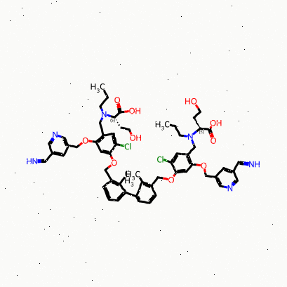 CCCN(Cc1cc(Cl)c(OCc2cccc(-c3cccc(COc4cc(OCc5cncc(C=N)c5)c(CN(CCC)[C@@H](CCO)C(=O)O)cc4Cl)c3C)c2C)cc1OCc1cncc(C=N)c1)[C@@H](CCO)C(=O)O